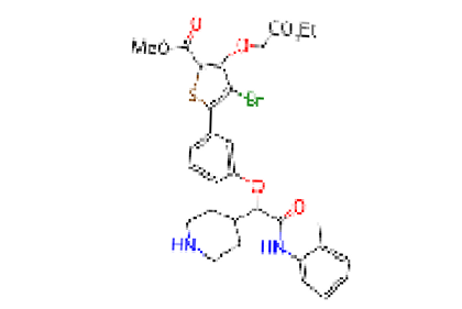 CCOC(=O)COc1c(C(=O)OC)sc(-c2cccc(OC(C(=O)Nc3ccccc3C)C3CCNCC3)c2)c1Br